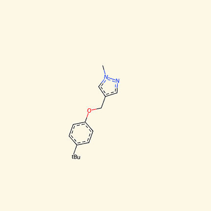 Cn1cc(COc2ccc(C(C)(C)C)cc2)cn1